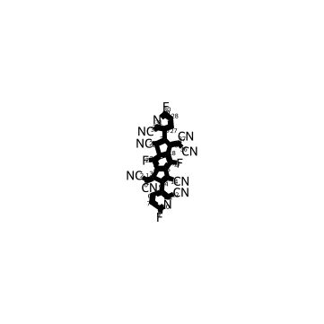 N#CC(C#N)=C1C(c2ccc(F)nc2C#N)=C(C#N)c2c(F)c3c(c(F)c21)C(C#N)=C(c1ccc(F)nc1C#N)C3=C(C#N)C#N